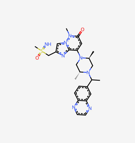 CC(c1ccc2nccnc2c1)N1C[C@H](C)N(c2cc(=O)n(C)n3cc(CS(C)(=N)=O)nc23)C[C@H]1C